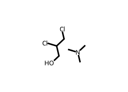 CN(C)C.OCC(Cl)CCl